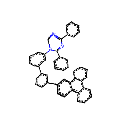 c1ccc(C2=NCN(c3cccc(-c4cccc(-c5ccc6c7ccccc7c7ccccc7c6c5)c4)c3)C(c3ccccc3)=N2)cc1